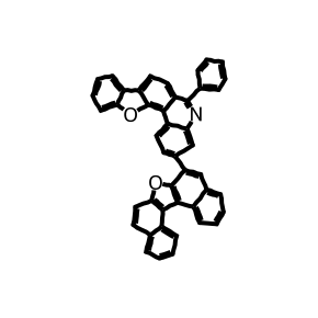 c1ccc(-c2nc3cc(-c4cc5ccccc5c5c4oc4ccc6ccccc6c45)ccc3c3c2ccc2c4ccccc4oc23)cc1